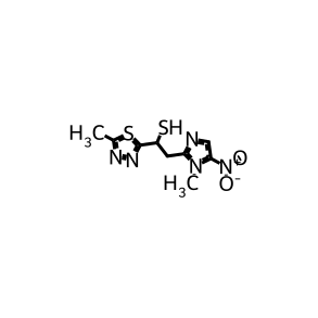 Cc1nnc(C(S)Cc2ncc([N+](=O)[O-])n2C)s1